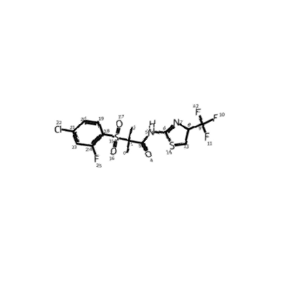 CC(C)(C(=O)NC1=NC(C(F)(F)F)CS1)S(=O)(=O)c1ccc(Cl)cc1F